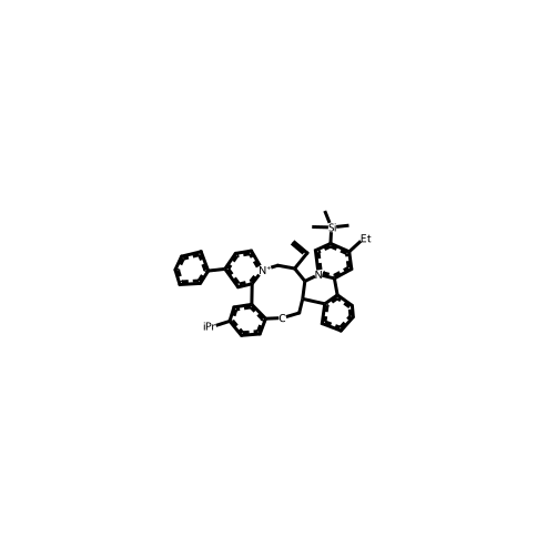 C=CC1C[n+]2ccc(-c3ccccc3)cc2-c2cc(C(C)C)ccc2CCC2c3ccccc3-c3cc(CC)c([Si](C)(C)C)c[n+]3C12